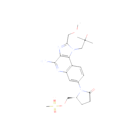 CCOCc1nc2c(N)nc3cc(N4C(=O)CC[C@H]4COS(C)(=O)=O)ccc3c2n1CC(C)(C)O